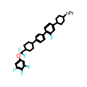 CCCC1CCC(c2ccc(-c3ccc(C4CCC(C(F)(F)Oc5cc(F)c(F)c(F)c5)CC4)cc3)c(F)c2)CC1